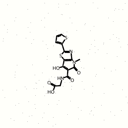 Cn1c(=O)c(C(=O)NCC(=O)O)c(O)c2sc(-c3cccs3)nc21